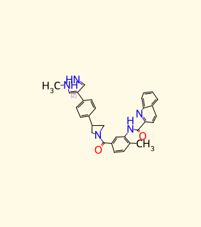 CN/C=C(\C=N)c1ccc(C2CN(C(=O)c3ccc(C)c(NC(=O)c4ccc5ccccc5n4)c3)C2)cc1